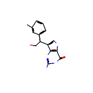 Cc1cccc(C(CO)c2c[nH]c3c(=O)[nH]c(N)nc23)c1